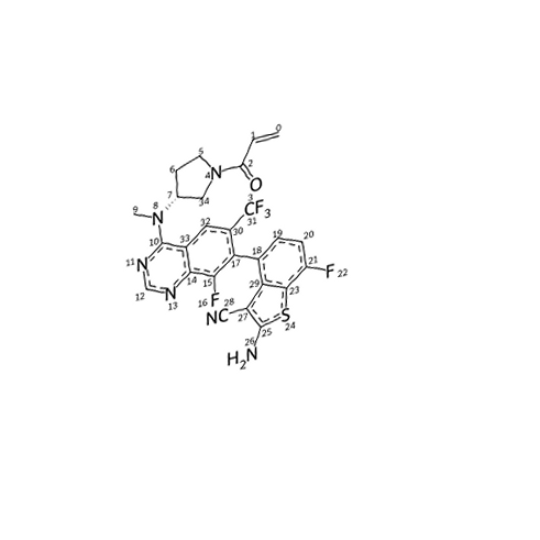 C=CC(=O)N1CC[C@@H](N(C)c2ncnc3c(F)c(-c4ccc(F)c5sc(N)c(C#N)c45)c(C(F)(F)F)cc23)C1